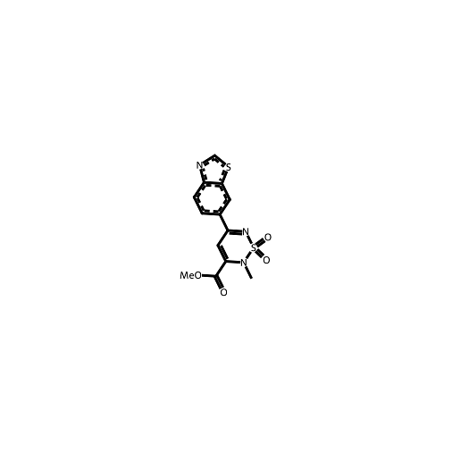 COC(=O)C1=CC(c2ccc3ncsc3c2)=NS(=O)(=O)N1C